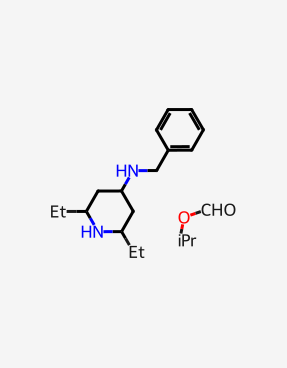 CC(C)OC=O.CCC1CC(NCc2ccccc2)CC(CC)N1